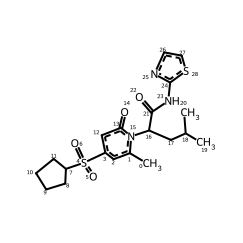 Cc1cc(S(=O)(=O)C2CCCC2)cc(=O)n1C(CC(C)C)C(=O)Nc1nccs1